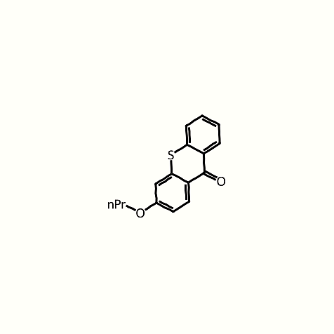 CCCOc1ccc2c(=O)c3ccccc3sc2c1